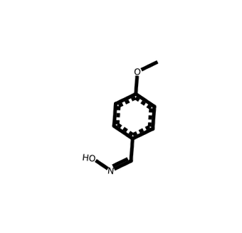 COc1ccc(/C=N\O)cc1